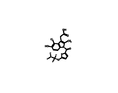 Cc1c(CC(=O)O)c2c(Cl)c(O)ccc2n1C(=O)c1ccc(OC(F)(F)C(F)F)s1